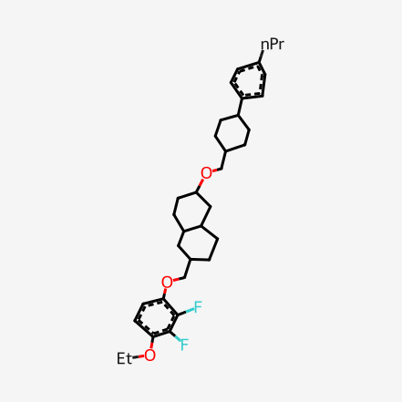 CCCc1ccc(C2CCC(COC3CCC4CC(COc5ccc(OCC)c(F)c5F)CCC4C3)CC2)cc1